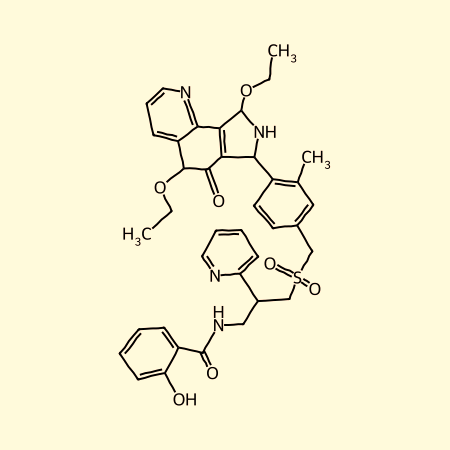 CCOC1NC(c2ccc(CS(=O)(=O)CC(CNC(=O)c3ccccc3O)c3ccccn3)cc2C)C2=C1c1ncccc1C(OCC)C2=O